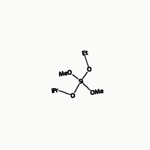 CCO[Si](OC)(OC)OC(C)C